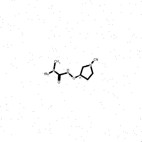 CN(C(=O)NO[C@@H]1CCN(C#N)C1)C(C)(C)C